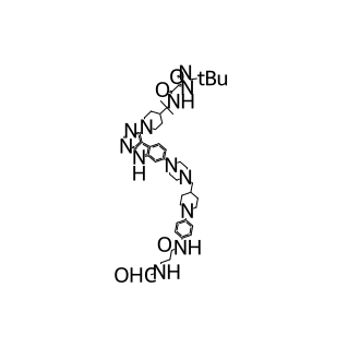 CC(C)(C)c1noc(C(=O)NC(C)(C)C2CCN(c3ncnc4[nH]c5cc(N6CCN(CC7CCN(c8ccc(NC(=O)CCNC=O)cc8)CC7)CC6)ccc5c34)CC2)n1